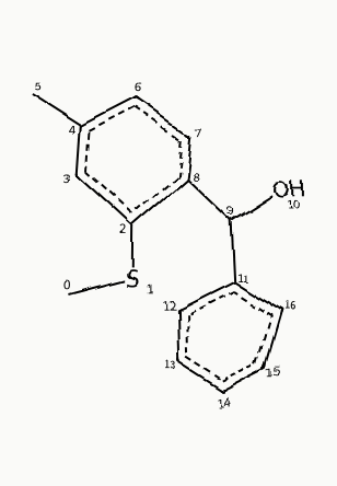 CSc1cc(C)ccc1C(O)c1ccccc1